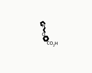 O=C(O)c1ccc(OCCCN2CCCC2)cc1